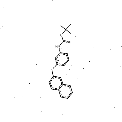 CC(C)(C)OC(=O)Nc1cccc(Sc2ccc3ccccc3c2)c1